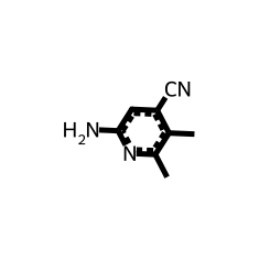 Cc1nc(N)cc(C#N)c1C